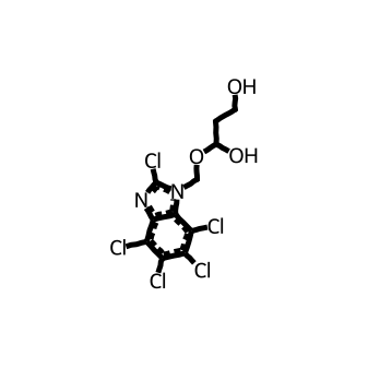 OCCC(O)OCn1c(Cl)nc2c(Cl)c(Cl)c(Cl)c(Cl)c21